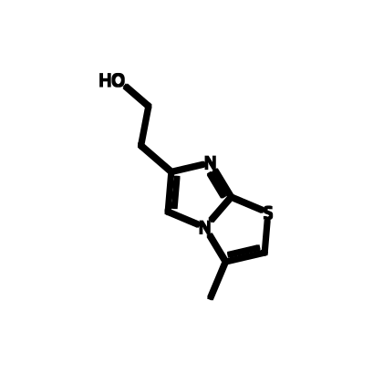 Cc1csc2nc(CCO)cn12